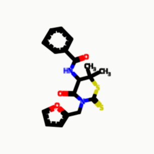 CC1(C)SC(=S)N(Cc2ccco2)C(=O)C1NC(=O)c1ccccc1